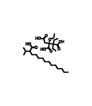 CCCCCCCCCCCCC(C(=O)O)C(C)C.CCOC(CC(=O)O)(C(=O)O)C(CC)(CC)C(=O)O